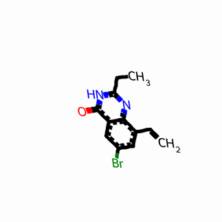 C=Cc1cc(Br)cc2c(=O)[nH]c(CC)nc12